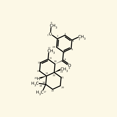 COc1cc(C)cc(C(=O)[C@H]2C(C)=CC[C@H]3C(C)(C)CCC[C@@]23C)c1